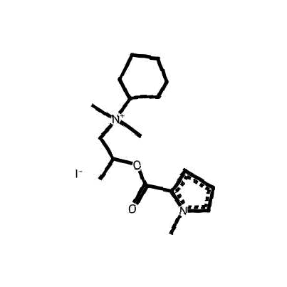 CC(C[N+](C)(C)C1CCCCC1)OC(=O)c1cccn1C.[I-]